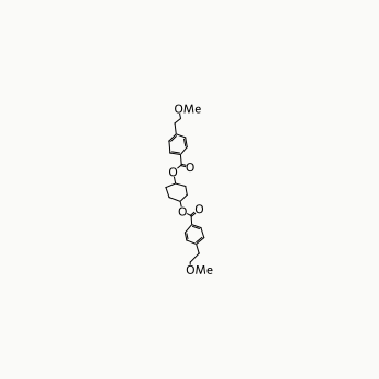 COCCc1ccc(C(=O)OC2CCC(OC(=O)c3ccc(CCOC)cc3)CC2)cc1